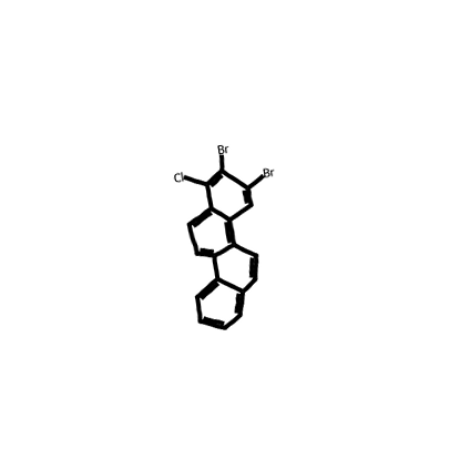 Clc1c(Br)c(Br)cc2c1ccc1c3ccccc3ccc21